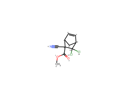 COC(=O)C1(C#N)C2C=CC(C2)C1(Cl)Cl